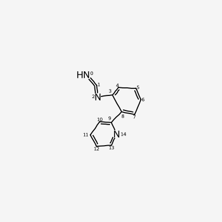 N=C=Nc1ccccc1-c1ccccn1